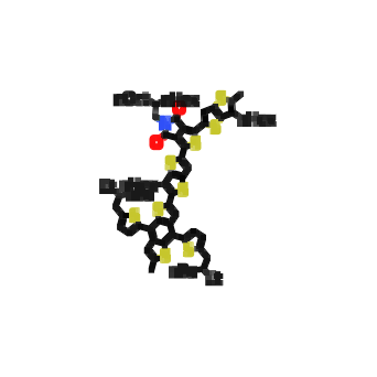 CCCCCCCCC(CCCCCC)CN1C(=O)c2c(-c3cc4sc(C)c(CCCCCC)c4s3)sc(-c3cc4sc(-c5cc6c(-c7ccc(CC(CC)CCCC)s7)c7sc(C)cc7c(-c7ccc(CC(CC)CCCC)s7)c6s5)c(CCCCCC)c4s3)c2C1=O